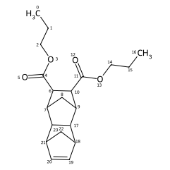 CCCOC(=O)C1C2CC(C1C(=O)OCCC)C1C3C=CC(C3)C21